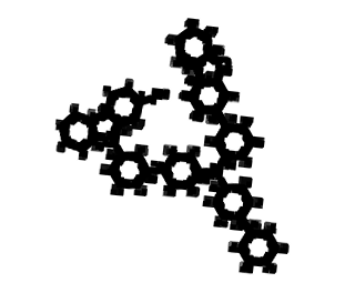 Fc1ccc2c3ccccc3n(-c3cccc(-c4ccc(N(c5ccc(-c6ccccc6)cc5)c5cccc(-c6ccc7c(c6)oc6ccccc67)c5)cc4)c3)c2c1